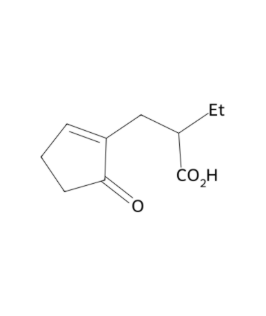 CCC(CC1=CCCC1=O)C(=O)O